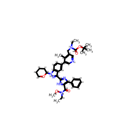 CCN(Cc1cncc(-c2ccc3c(c2)c(-c2nc(-c4ccccc4)c(C(=O)N(CC)OC)[nH]2)nn3C2CCCCO2)c1C)C(=O)OC(C)(C)C